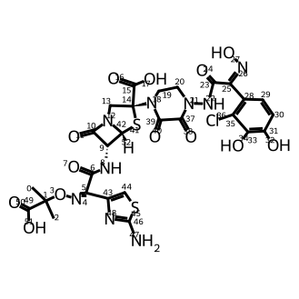 CC(C)(O/N=C(\C(=O)N[C@@H]1C(=O)N2C[C@@](C(=O)O)(N3CCN(NC(=O)/C(=N\O)c4ccc(O)c(O)c4Cl)C(=O)C3=O)S[C@H]12)c1csc(N)n1)C(=O)O